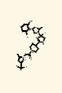 Cc1cc(C(F)(F)F)nn1CC(=O)N1CCC(C2=NC(I)(N3C[C@@H](c4c(F)cccc4F)OC3I)CS2)CC1